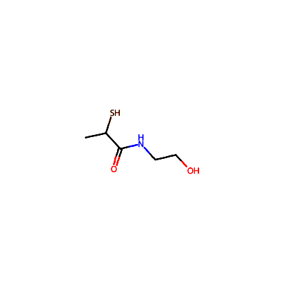 CC(S)C(=O)NCCO